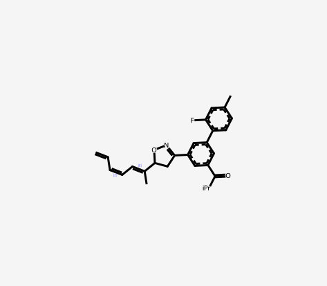 C=C/C=C\C=C(/C)C1CC(c2cc(C(=O)C(C)C)cc(-c3ccc(C)cc3F)c2)=NO1